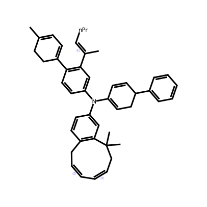 CCC/C=C(\C)c1cc(N(C2=CCC(c3ccccc3)C=C2)c2ccc3c(c2)C(C)(C)C/C=C\C=C/C3)ccc1C1=CC=C(C)CC1